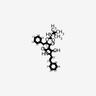 CC(C)(C)NC(=O)OC(Cc1ccccc1)C(=O)C1=C(O)C(C=Cc2ccccc2)NC1=O